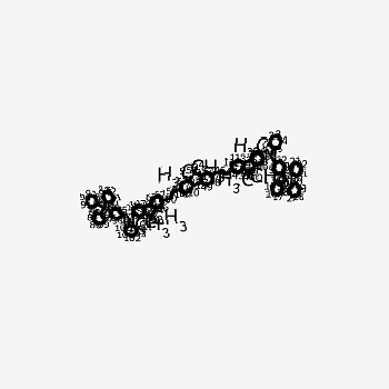 Cc1ccccc1N(c1ccc([Si](c2ccccc2)(c2ccccc2)c2ccccc2)cc1)c1ccc2c(c1)C(C)(C)c1cc(/C=C/c3ccc4c(c3)C(C)(C)c3cc(/C=C/c5ccc6c(c5)C(C)(C)c5cc(N(c7ccc([Si](c8ccccc8)(c8ccccc8)c8ccccc8)cc7)c7ccccc7C)ccc5-6)ccc3-4)ccc1-2